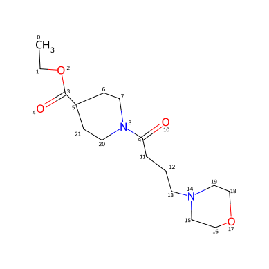 CCOC(=O)C1CCN(C(=O)CCCN2CCOCC2)CC1